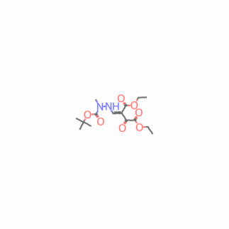 CCOC(=O)C(=O)/C(=C/NN(C)C(=O)OC(C)(C)C)C(=O)OCC